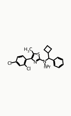 CCCN(c1nc(-c2ccc(Cl)cc2Cl)c(C)s1)C(c1ccccc1)C1CCC1